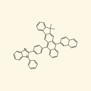 CC1(C)c2ccccc2-c2cc3c(-c4ccc(-c5nc6ccccc6n5-c5ccccc5)cc4)c4ccccc4c(C4=CC5C=CC=CC5C=C4)c3cc21